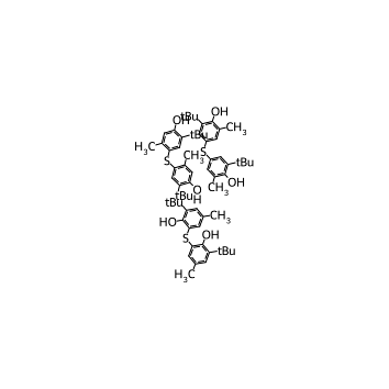 Cc1cc(O)c(C(C)(C)C)cc1Sc1cc(C(C)(C)C)c(O)cc1C.Cc1cc(Sc2cc(C)c(O)c(C(C)(C)C)c2)cc(C(C)(C)C)c1O.Cc1cc(Sc2cc(C)cc(C(C)(C)C)c2O)c(O)c(C(C)(C)C)c1